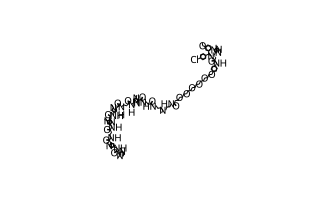 COc1ccc2c(c1)C(c1ccc(Cl)cc1)=N[C@H](CC(=O)Nc1ccc(OCCOCCOCCOCCOCCOCCC(=O)NCCCN(C)CCCNC(=O)CCNC(=O)c3nc(NC(=O)CCNC(=O)c4cc(NC(=O)c5nc(NC(=O)CCNC(=O)c6cc(NC(=O)c7nccn7C)cn6C)cn5C)cn4C)cn3C)cc1)c1nnc(C)n1-2